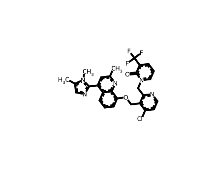 Cc1cc(-c2ncc(C)n2C)c2cccc(OCc3c(Cl)ccnc3Cn3cccc(C(F)(F)F)c3=O)c2n1